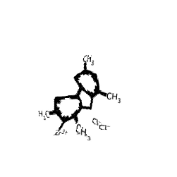 Cc1cc(C)c2c(c1)-c1cc(C)[c]([Zr+2])c(C)c1C2.[Cl-].[Cl-]